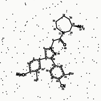 COc1ccc(-c2cn(CC(=O)N3CCCC[C@@H](N)C3)nc2-c2ccc(C#N)c(F)c2)cc1F